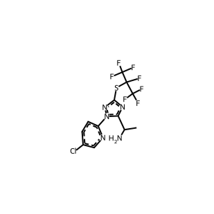 CC(N)c1nc(SC(F)(C(F)(F)F)C(F)(F)F)nn1-c1ccc(Cl)cn1